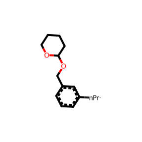 CC[CH]c1cccc(COC2CCCCO2)c1